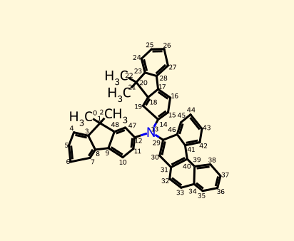 CC1(C)c2ccccc2-c2ccc(N(c3ccc4c(c3)C(C)(C)c3ccccc3-4)c3cc4ccc5ccccc5c4c4ccccc34)cc21